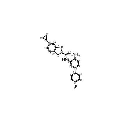 Nc1ccc(-c2ccc(F)cc2)nc1NC(=O)N1Cc2cc(C3CC3)cnc2C1